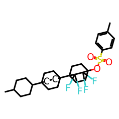 Cc1ccc(S(=O)(=O)OC23CCC(C45CCC(C6CCC(C)CC6)(CC4)CC5)(CC2)C(F)(F)C3(F)F)cc1